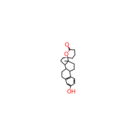 CC12CCC3c4ccc(O)cc4CCC3C1CC[C@@]21CCCC(=O)O1